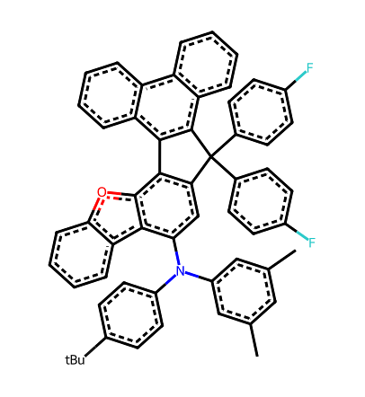 Cc1cc(C)cc(N(c2ccc(C(C)(C)C)cc2)c2cc3c(c4oc5ccccc5c24)-c2c(c4ccccc4c4ccccc24)C3(c2ccc(F)cc2)c2ccc(F)cc2)c1